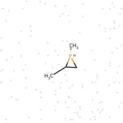 CC1C[P@@]1C